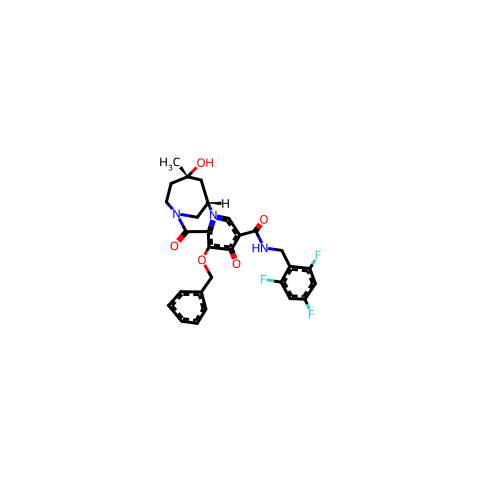 C[C@]1(O)CCN2C[C@H](C1)n1cc(C(=O)NCc3c(F)cc(F)cc3F)c(=O)c(OCc3ccccc3)c1C2=O